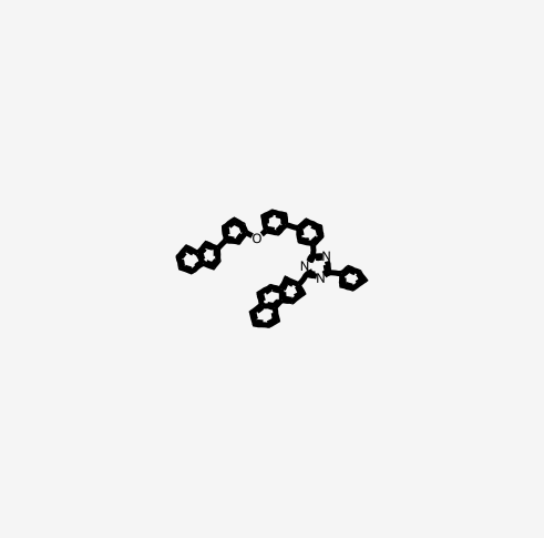 c1ccc(-c2nc(-c3cccc(-c4cccc(Oc5cccc(-c6ccc7ccccc7c6)c5)c4)c3)nc(-c3ccc4c(ccc5ccccc54)c3)n2)cc1